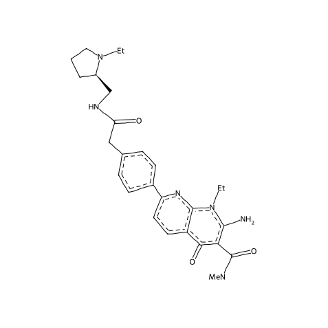 CCN1CCC[C@@H]1CNC(=O)Cc1ccc(-c2ccc3c(=O)c(C(=O)NC)c(N)n(CC)c3n2)cc1